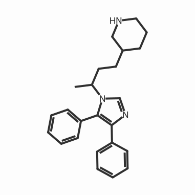 CC(CCC1CCCNC1)n1cnc(-c2ccccc2)c1-c1ccccc1